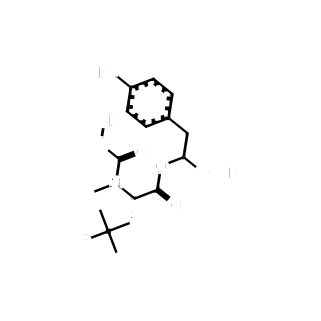 CN(C(=O)OC(C)(C)C)[C@@H](CC(C)(C)F)C(=O)OC(Cc1ccc(C(C)(C)C)cc1)C(=O)O